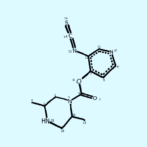 CC1CN(C(=O)Oc2ccncc2N=C=S)C(C)CN1